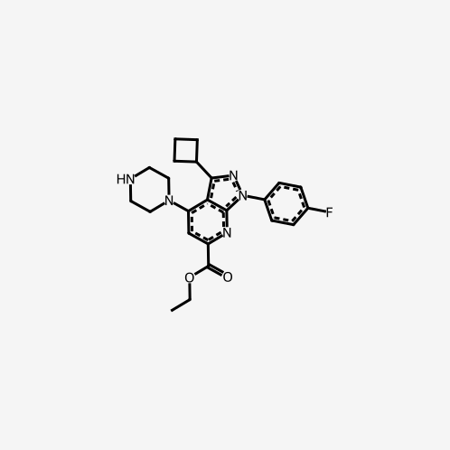 CCOC(=O)c1cc(N2CCNCC2)c2c(C3CCC3)nn(-c3ccc(F)cc3)c2n1